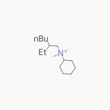 CCCCC(CC)C[N+](C)(C)C1CCCCC1